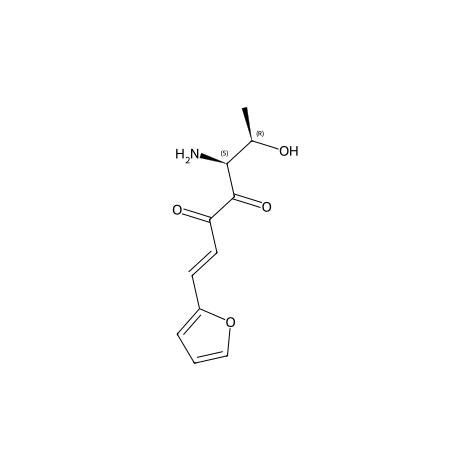 C[C@@H](O)[C@H](N)C(=O)C(=O)C=Cc1ccco1